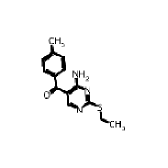 CCSc1ncc(C(=O)c2ccc(C)cc2)c(N)n1